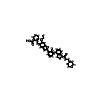 CCOc1cc2oc(-c3cccc(-c4cccc5c4CCN5C(=O)CCN4CCOCC4)c3C)nc2cc1CN1CCCCC1C(=O)O